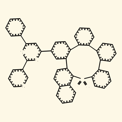 O=S1(=O)c2ccccc2-c2ccccc2-c2ccccc2-c2ccc(-c3cc(-c4ccccc4)nc(-c4cccnc4)n3)cc2-c2ccc3ccccc3c21